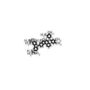 Cc1ccc(N(c2ccc(C)c(C)c2)c2cc3c(c4ccccc24)-c2ccc(-n4c5ccc([Si](C)(C)C)cc5c5cc([Si](C)(C)C)ccc54)cc2C3(C)C)cc1C